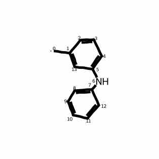 [CH2]c1cccc(Nc2ccccc2)c1